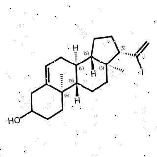 C=C(I)[C@H]1CC[C@H]2[C@@H]3CC=C4CC(O)CC[C@]4(C)[C@H]3CC[C@]12C